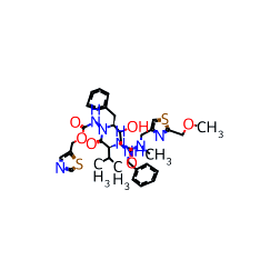 COCc1nc(CN(C)C(=O)N[C@H](C(=O)N(NC(=O)OCc2cncs2)[C@@H](Cc2ccccc2)[C@@H](O)CNCc2ccccc2)C(C)C)cs1